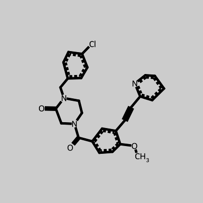 COc1ccc(C(=O)N2CCN(Cc3ccc(Cl)cc3)C(=O)C2)cc1C#Cc1ccccn1